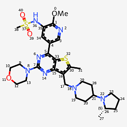 COc1ncc(-c2nc(N3CCOCC3)nc3c(CN4CCC(N5CCC[C@@H]5C)CC4)c(C)sc23)cc1NS(C)(=O)=O